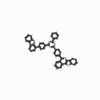 C1=Cc2oc3c(nc(-c4ccc(-c5nc(-c6ccccc6)nc(-c6ccc(-c7cccc8c7sc7ccccc78)cc6)n5)cc4)c4ccccc43)c2CC1